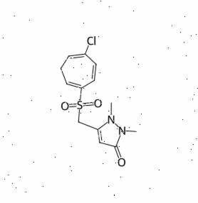 Cn1c(CS(=O)(=O)C2=CCC=C(Cl)C=C2)cc(=O)n1C